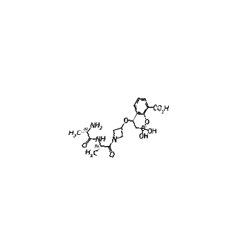 C[C@H](N)C(=O)N[C@@H](C)C(=O)N1CC(OC2C[B-](O)(O)Oc3c(C(=O)O)cccc32)C1